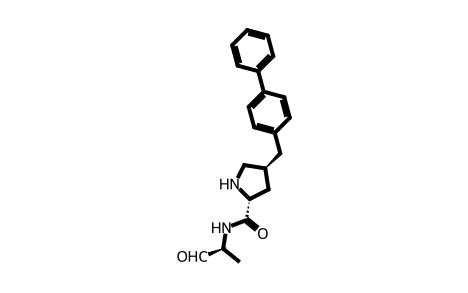 C[C@@H](C=O)NC(=O)[C@H]1C[C@H](Cc2ccc(-c3ccccc3)cc2)CN1